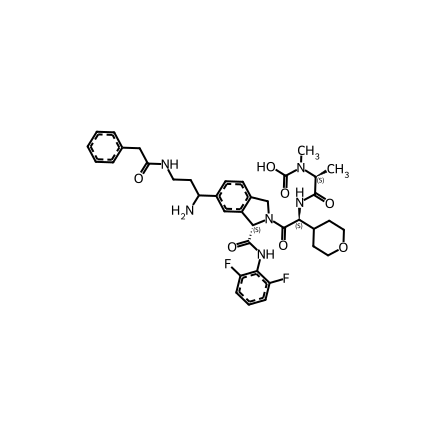 C[C@@H](C(=O)N[C@H](C(=O)N1Cc2ccc(C(N)CCNC(=O)Cc3ccccc3)cc2[C@H]1C(=O)Nc1c(F)cccc1F)C1CCOCC1)N(C)C(=O)O